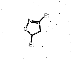 CCC1=NOC(CC)C1